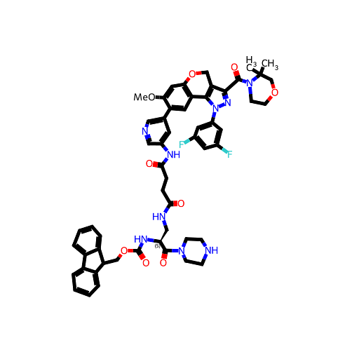 COc1cc2c(cc1-c1cncc(NC(=O)CCC(=O)NC[C@H](NC(=O)OCC3c4ccccc4-c4ccccc43)C(=O)N3CCNCC3)c1)-c1c(c(C(=O)N3CCOCC3(C)C)nn1-c1cc(F)cc(F)c1)CO2